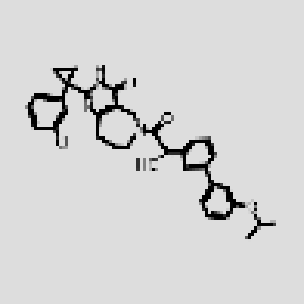 CC(C)Oc1cccc(-c2cccc([C@@H](O)C(=O)N3CCCc4nc(C5(c6cccc(Cl)c6)CC5)[nH]c(=O)c4C3)c2)c1